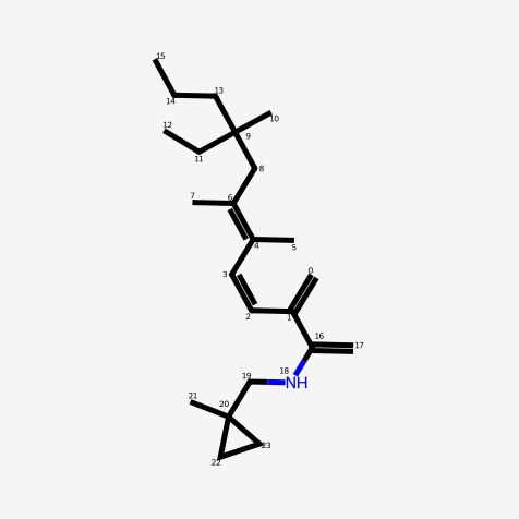 C=C(/C=C\C(C)=C(/C)CC(C)(CC)CCC)C(=C)NCC1(C)CC1